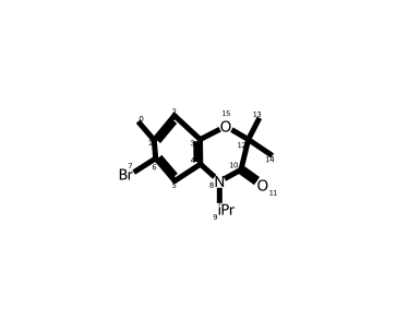 Cc1cc2c(cc1Br)N(C(C)C)C(=O)C(C)(C)O2